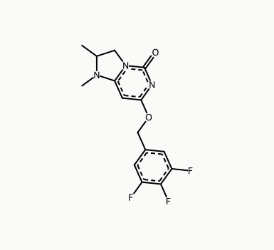 CC1Cn2c(cc(OCc3cc(F)c(F)c(F)c3)nc2=O)N1C